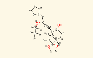 CC1[C@@H]2[C@@H](C#C[C@H](CC3CCCC3)O[Si](C)(C)C(C)(C)C)[C@H](O)CC[C@]2(C)C12OCCO2